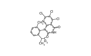 Cc1cccc(C(C)C)c1-n1c(=O)[nH]c(=O)c2c(Cl)c(Cl)c(Cl)nc21